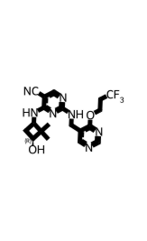 CC1(C)C(Nc2nc(NCc3cncnc3OCCC(F)(F)F)ncc2C#N)C[C@H]1O